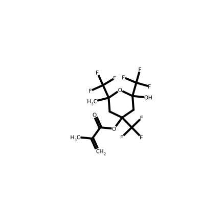 C=C(C)C(=O)OC1(C(F)(F)F)CC(C)(C(F)(F)F)OC(O)(C(F)(F)F)C1